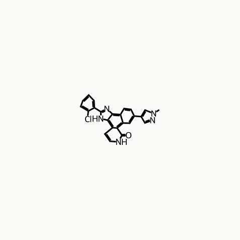 Cn1cc(-c2ccc3c(c2)c2c(=O)[nH]ccc2c2[nH]c(-c4ccccc4Cl)nc32)cn1